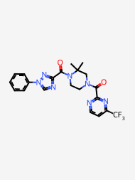 CC1(C)CN(C(=O)c2nccc(C(F)(F)F)n2)CCN1C(=O)c1ncn(-c2ccccc2)n1